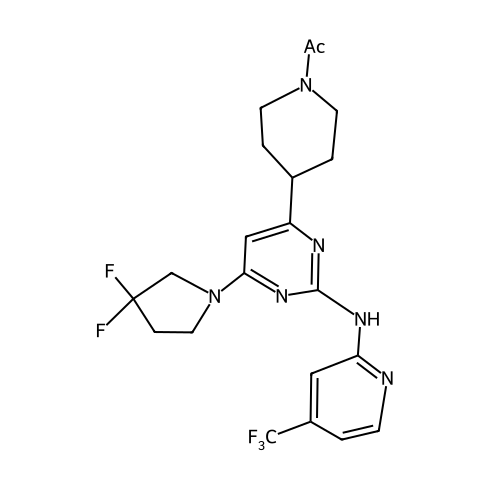 CC(=O)N1CCC(c2cc(N3CCC(F)(F)C3)nc(Nc3cc(C(F)(F)F)ccn3)n2)CC1